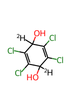 [2H]C1(O)C(Cl)=C(Cl)C([2H])(O)C(Cl)=C1Cl